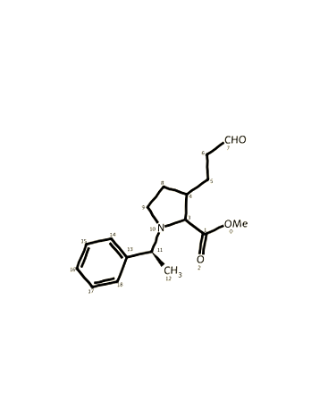 COC(=O)C1C(CCC=O)CCN1[C@@H](C)c1ccccc1